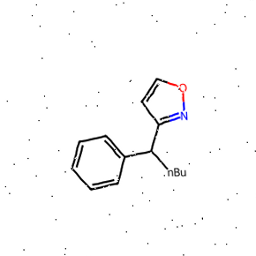 CCCCC(c1ccccc1)c1ccon1